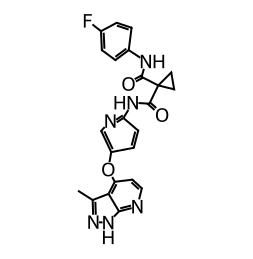 Cc1n[nH]c2nccc(Oc3ccc(NC(=O)C4(C(=O)Nc5ccc(F)cc5)CC4)nc3)c12